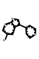 Brc1cnc2[nH]cc(-c3ccncc3)c2c1